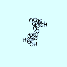 COc1ccc2c3c1O[C@H]1C(OC(=O)C[C@H](OC(C)=O)C(=O)O[C@H](CC(=O)O)C(=O)O)=CC[C@@]4(O)[C@@H](C2)N(C)CC[C@]314